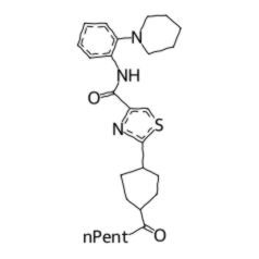 CCCCCC(=O)C1CCC(c2nc(C(=O)Nc3ccccc3N3CCCCC3)cs2)CC1